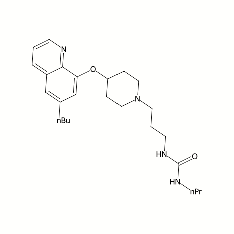 CCCCc1cc(OC2CCN(CCCNC(=O)NCCC)CC2)c2ncccc2c1